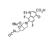 CCn1cc(C(=O)O)c(=O)c2cc(F)c(N3CC4CC(CN=C=O)OC4(OC(C)(C)C)C3)c(F)c21